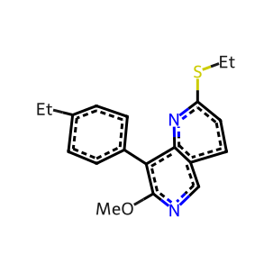 CCSc1ccc2cnc(OC)c(-c3ccc(CC)cc3)c2n1